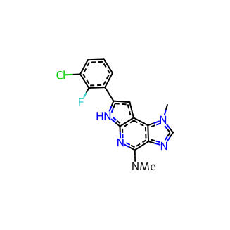 CNc1nc2[nH]c(-c3cccc(Cl)c3F)cc2c2c1ncn2C